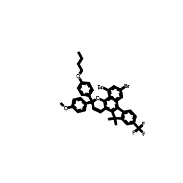 CCCCOc1ccc(C2(c3ccc(OC)cc3)C=Cc3c4c(c5cc(Br)cc(Br)c5c3O2)-c2ccc(C(F)(F)F)cc2C4(C)C)cc1